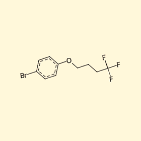 FC(F)(F)CCCOc1ccc(Br)cc1